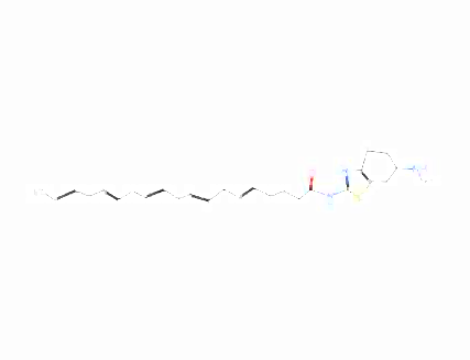 CCC=CCC=CCC=CCC=CCC=CCCCC(=O)Nc1nc2c(s1)C[C@H](NCCC)CC2